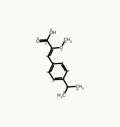 COC(=Cc1ccc(C(C)C)cc1)C(=O)O